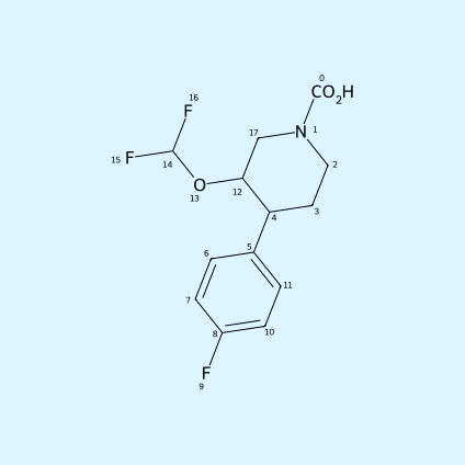 O=C(O)N1CCC(c2ccc(F)cc2)C(OC(F)F)C1